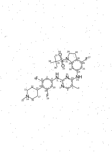 Cc1cnc(Nc2cc(F)c(C3CCN(C)CC3)c(F)c2)nc1Nc1cc(F)c2c(c1)N(S(=O)(=O)C(C)(C)C)CC2